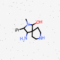 CC(C)C1C(N)C2(CCNCC2)C(O)N1C